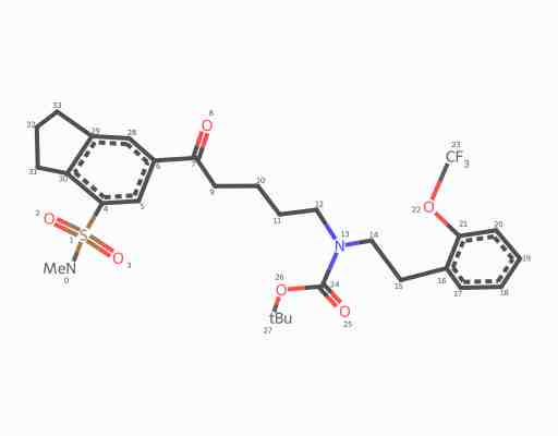 CNS(=O)(=O)c1cc(C(=O)CCCCN(CCc2ccccc2OC(F)(F)F)C(=O)OC(C)(C)C)cc2c1CCC2